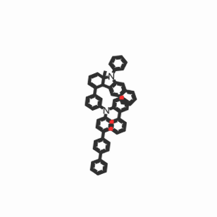 CC12C=CC=C(c3cccc(N(c4ccc(-c5ccc(-c6ccccc6)cc5)cc4)c4ccccc4-c4ccccc4)c3)C1c1cc3ccccc3cc1N2c1ccccc1